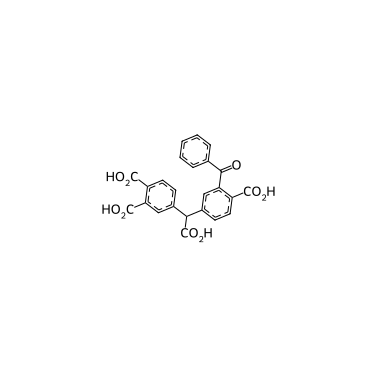 O=C(O)c1ccc(C(C(=O)O)c2ccc(C(=O)O)c(C(=O)c3ccccc3)c2)cc1C(=O)O